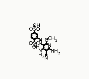 COc1nc(N)c(C#N)c(N)c1/N=N/c1cc(S(=O)(=O)O)ccc1S(=O)(=O)O